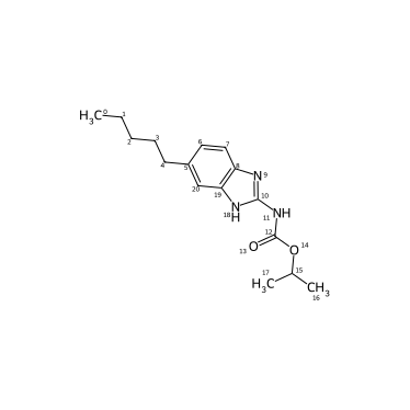 CCCCCc1ccc2nc(NC(=O)OC(C)C)[nH]c2c1